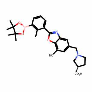 Cc1c(B2OC(C)(C)C(C)(C)O2)cccc1-c1nc2cc(CN3CC[C@@H](C(=O)O)C3)cc(C#N)c2o1